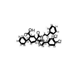 O=C(O)C1=CC(C(=O)NCCc2ccccc2)(c2nc(-c3ccc(Cl)c(Cl)c3)cs2)C=CC1c1ccccc1